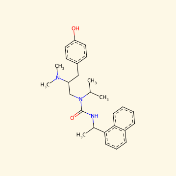 CC(NC(=O)N(CC(Cc1ccc(O)cc1)N(C)C)C(C)C)c1cccc2ccccc12